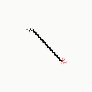 CCCCCCCCCCC=CCC=CCCCCCCCCCCC(=O)O